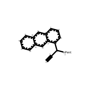 [C]#CC(CCCCC)c1cccc2cc3ccccc3cc12